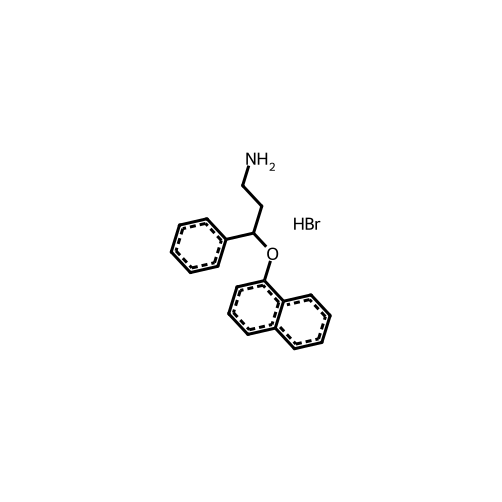 Br.NCCC(Oc1cccc2ccccc12)c1ccccc1